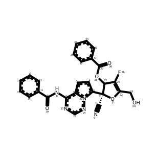 N#C[C@@]1(c2ccc3c(NC(=O)c4ccccc4)ncnn23)OC(CO)=C(F)C1OC(=O)c1ccccc1